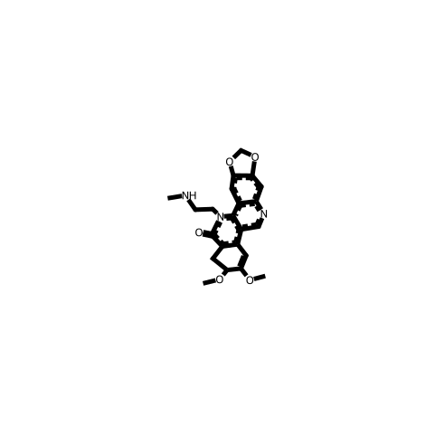 CNCCn1c(=O)c2c(c3cnc4cc5c(cc4c31)OCO5)C=C(OC)C(OC)C2